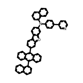 c1cncc(-c2ccc(N(c3ccc4c(c3)oc3cc(-c5c6ccccc6c(-c6cccc7ccccc67)c6ccccc56)ccc34)c3cccc4ccccc34)cc2)c1